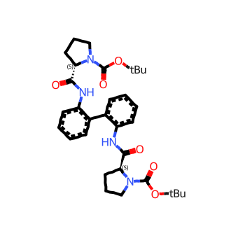 CC(C)(C)OC(=O)N1CCC[C@H]1C(=O)Nc1ccccc1-c1ccccc1NC(=O)[C@@H]1CCCN1C(=O)OC(C)(C)C